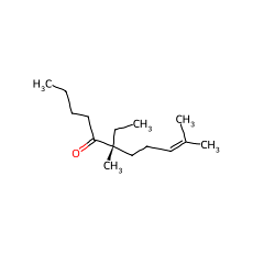 CCCCC(=O)[C@](C)(CC)CCC=C(C)C